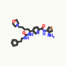 Nc1cscc1NC(=O)c1ccc(C(CCCCN2CCOCC2)NC(=O)NCCc2ccccc2)cn1